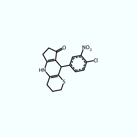 O=C1CCC2=C1C(c1ccc(Cl)c([N+](=O)[O-])c1)C1=C(CCCS1)N2